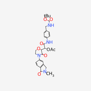 CC(=O)OC(C(=O)Nc1ccc(CNC(=O)OC(C)(C)C)cc1)C1OCCN(c2ccc3c(c2)CN(C)C3=O)C1=O